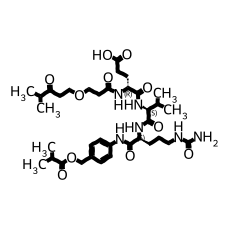 CC(C)C(=O)CCOCCC(=O)N[C@H](CCC(=O)O)C(=O)N[C@H](C(=O)N[C@@H](CCCNC(N)=O)C(=O)Nc1ccc(COC(=O)C(C)C)cc1)C(C)C